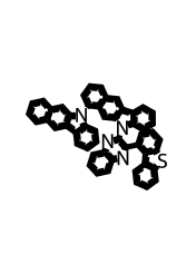 c1ccc2cc3c(cc2c1)c1ccccc1n3-c1cccc2cc3c4ccccc4n(-c4nc5ccccc5nc4-c4cccc5sc6ccccc6c45)c3cc12